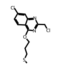 CSCCCOc1nc(CCl)nc2cc(Cl)ccc12